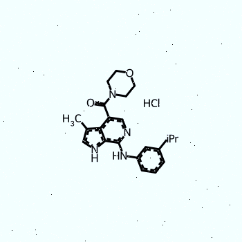 Cc1c[nH]c2c(Nc3cccc(C(C)C)c3)ncc(C(=O)N3CCOCC3)c12.Cl